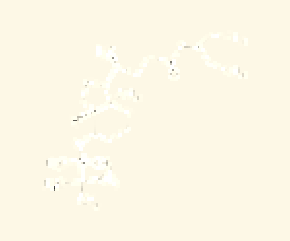 CCC(CC)OC(=O)CC[C@H](C)[C@H]1CC[C@H]2[C@H](O[Si](C)(C)C(C)(C)C)CCC[C@]12C